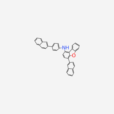 c1ccc2cc(-c3ccc(Nc4ccc(-c5ccc6ccccc6c5)c5oc6ccccc6c45)cc3)ccc2c1